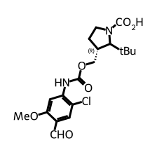 COc1cc(NC(=O)OC[C@@H]2CCN(C(=O)O)C2C(C)(C)C)c(Cl)cc1C=O